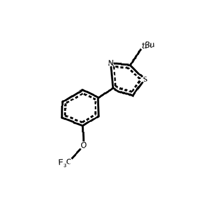 CC(C)(C)c1nc(-c2cccc(OC(F)(F)F)c2)cs1